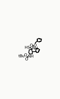 CC(C)(C)OC(=O)NC1CCC(CS)(NC(=O)OCc2ccccc2)C(c2ccccc2)C1